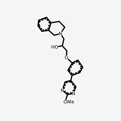 COc1ncc(-c2cccc(OCC(O)CN3CCc4ccccc4C3)c2)cn1